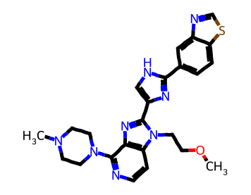 COCCn1c(-c2c[nH]c(-c3ccc4scnc4c3)n2)nc2c(N3CCN(C)CC3)nccc21